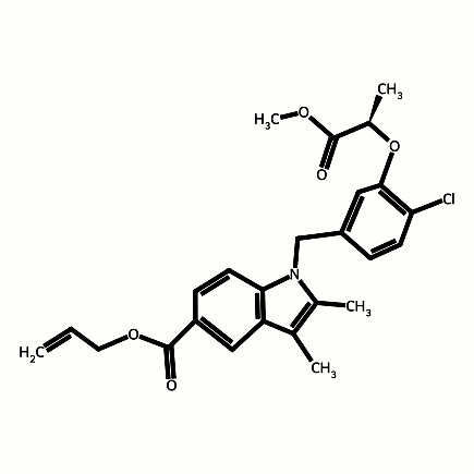 C=CCOC(=O)c1ccc2c(c1)c(C)c(C)n2Cc1ccc(Cl)c(O[C@H](C)C(=O)OC)c1